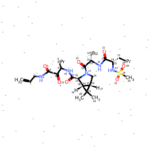 C=CCNC(=O)C(=O)C(CCC)NC(=O)[C@@H]1[C@@H]2[C@H](CN1C(=O)[C@@H](NC(=O)[C@H](CC(C)C)NS(C)(=O)=O)C(C)(C)C)C2(C)C